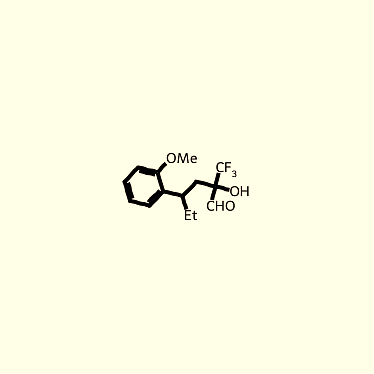 CCC(CC(O)(C=O)C(F)(F)F)c1ccccc1OC